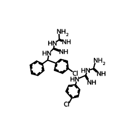 N=C(N)NC(=N)NC(c1ccccc1)c1ccc(Cl)cc1.N=C(N)NC(=N)Nc1ccc(Cl)cc1